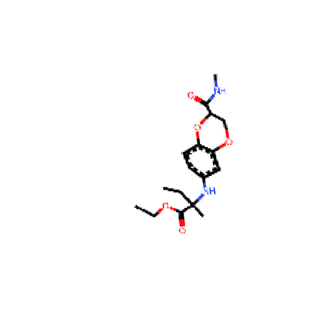 CCOC(=O)C(C)(CC)Nc1ccc2c(c1)OCC(C(=O)NC)O2